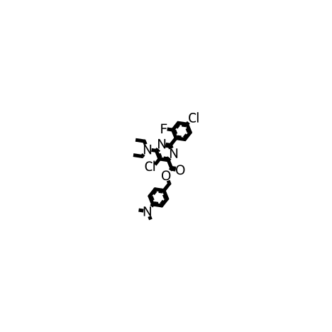 CCN(CC)c1nc(-c2ccc(Cl)cc2F)nc(C(=O)OCc2ccc(N(C)C)cc2)c1Cl